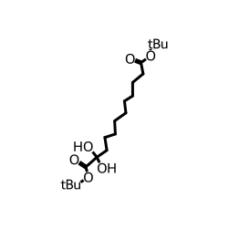 CC(C)(C)OC(=O)CCCCCCCCCC(O)(O)C(=O)OC(C)(C)C